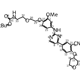 COc1cc(Nc2nccc(-c3ccc(OC4CCOCC4)c(C#N)c3)n2)ccc1OCCOCCNC(=O)OC(C)(C)C